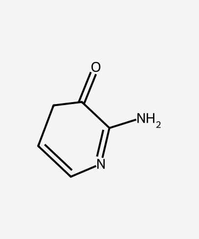 NC1=NC=CCC1=O